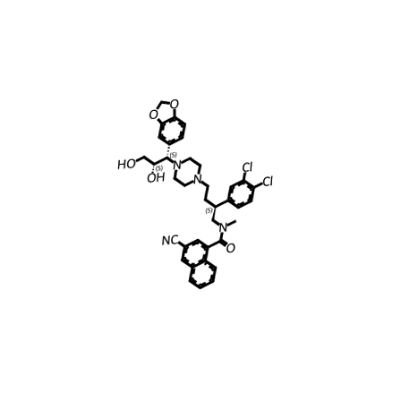 CN(C[C@@H](CCN1CCN([C@@H](c2ccc3c(c2)OCO3)[C@H](O)CO)CC1)c1ccc(Cl)c(Cl)c1)C(=O)c1cc(C#N)cc2ccccc12